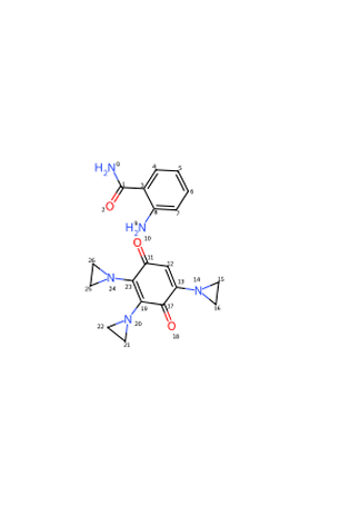 NC(=O)c1ccccc1N.O=C1C=C(N2CC2)C(=O)C(N2CC2)=C1N1CC1